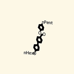 CCCCCCOc1ccc(-c2ccc(C(=O)Oc3ccc(CCCCC)cc3)cc2)cc1